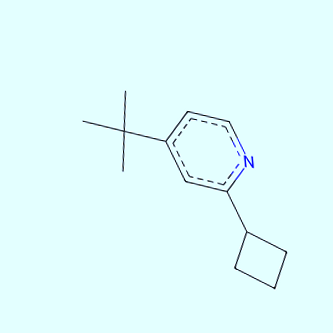 CC(C)(C)c1ccnc(C2CCC2)c1